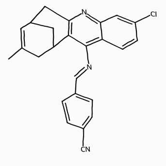 CC1=CC2Cc3nc4cc(Cl)ccc4c(N=Cc4ccc(C#N)cc4)c3C(C1)C2